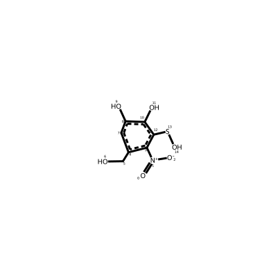 O=[N+]([O-])c1c(CO)cc(O)c(O)c1SO